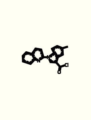 Cc1ccc2c(c1)c(C(=O)Cl)cn2-c1ccc2ccccc2n1